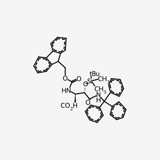 CC(C)(C)[Si](C)(C)O[C@H](C(=O)NC(c1ccccc1)(c1ccccc1)c1ccccc1)[C@H](NC(=O)OCC1c2ccccc2-c2ccccc21)C(=O)O